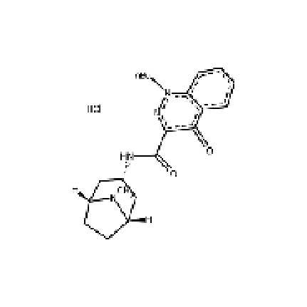 CCCCn1nc(C(=O)N[C@H]2C[C@H]3CC[C@@H](C2)N3C)c(=O)c2ccccc21.Cl